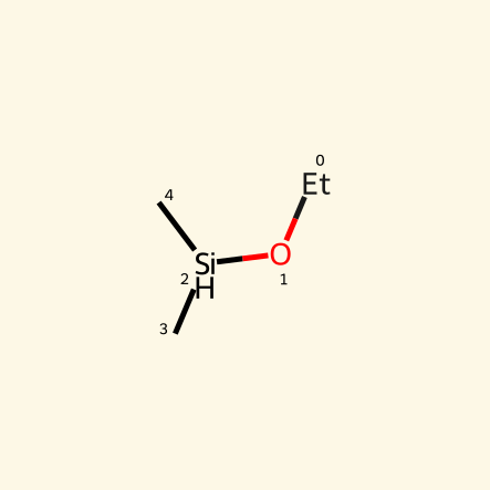 CCO[SiH](C)C